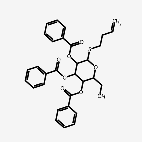 C=CCCSC1OC(CO)C(OC(=O)c2ccccc2)C(OC(=O)c2ccccc2)C1OC(=O)c1ccccc1